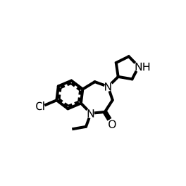 CCN1C(=O)CN(C2CCNC2)Cc2ccc(Cl)cc21